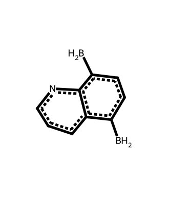 Bc1ccc(B)c2ncccc12